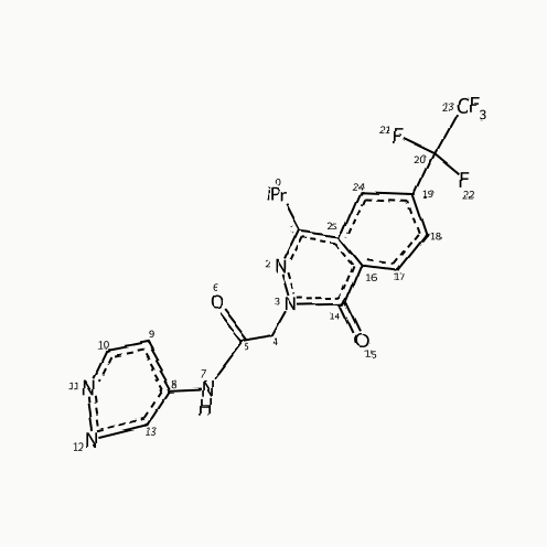 CC(C)c1nn(CC(=O)Nc2ccnnc2)c(=O)c2ccc(C(F)(F)C(F)(F)F)cc12